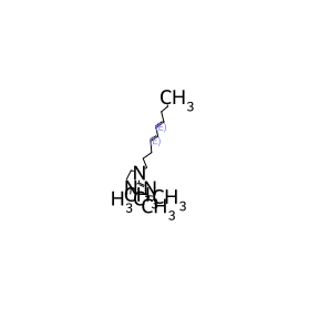 CCC/C=C/C=C/CCCN1CCN(C)C1=NC(C)(C)C